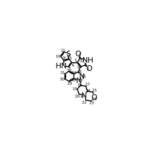 O=C1NC(=O)C(c2c[nH]c3ccsc23)=C1c1nn(C2CCN3CCOCC3C2)c2ccccc12